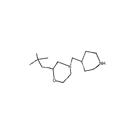 CC(C)(C)CC1CN(CC2CCNCC2)CCO1